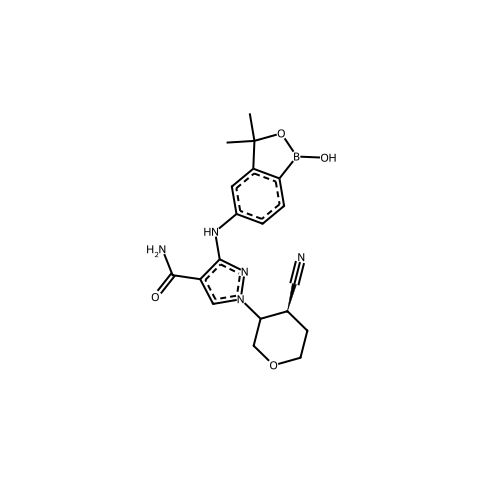 CC1(C)OB(O)c2ccc(Nc3nn(C4COCC[C@@H]4C#N)cc3C(N)=O)cc21